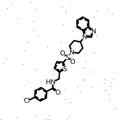 O=C(NCc1ccc(S(=O)(=O)N2CCC(n3cnc4ccccc43)CC2)s1)c1ccc(Cl)cc1